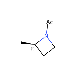 CC(=O)N1CC[C@H]1C